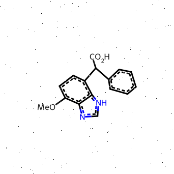 COc1ccc(C(C(=O)O)c2ccccc2)c2[nH]cnc12